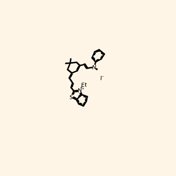 CC[n+]1c(C=CC=C2C=C(C=CN(C)c3ccccc3)CC(C)(C)C2)sc2ccccc21.[I-]